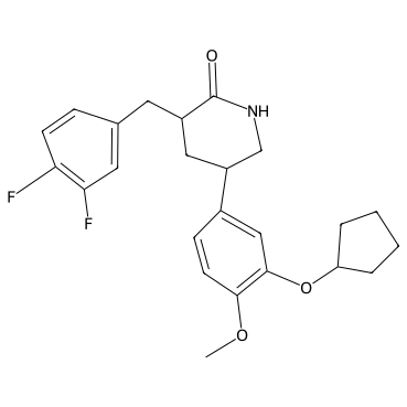 COc1ccc(C2CNC(=O)C(Cc3ccc(F)c(F)c3)C2)cc1OC1CCCC1